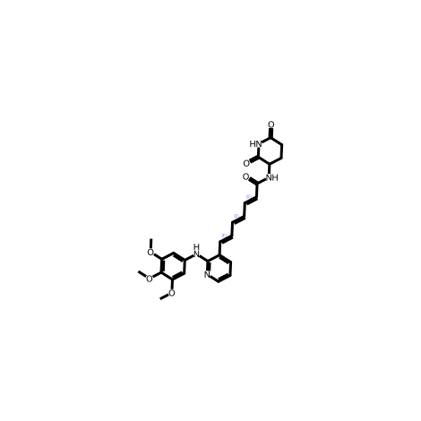 COc1cc(Nc2ncccc2/C=C/C=C/C=C/C(=O)NC2CCC(=O)NC2=O)cc(OC)c1OC